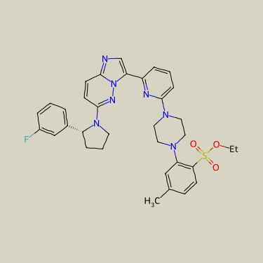 CCOS(=O)(=O)c1ccc(C)cc1N1CCN(c2cccc(-c3cnc4ccc(N5CCC[C@@H]5c5cccc(F)c5)nn34)n2)CC1